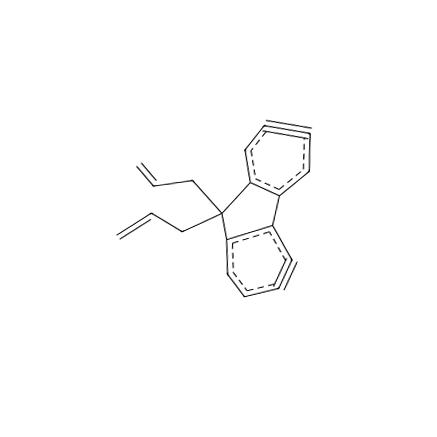 C=CCC1(CC=C)c2ccc#cc2-c2cc#ccc21